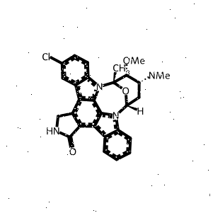 CN[C@@H]1C[C@H]2O[C@@](C)([C@@H]1OC)n1c3ccc(Cl)cc3c3c4c(c5c6ccccc6n2c5c31)C(=O)NC4